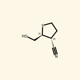 N#C[C@H]1CCS[C@@H]1CO